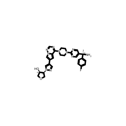 C[C@](N)(c1ccc(F)cc1)c1cnc(N2CCN(c3ncnn4cc(-c5cnn([C@H]6COC[C@H]6O)c5)cc34)CC2)nc1